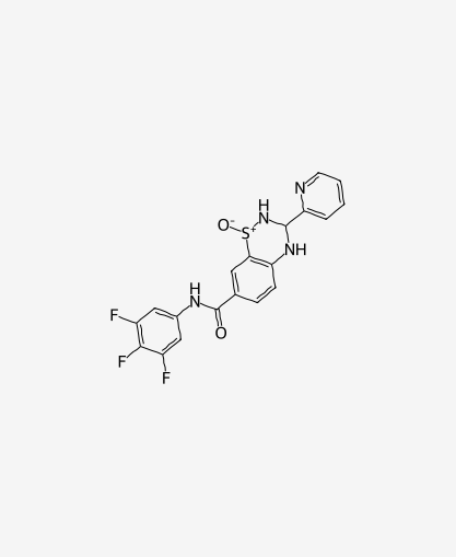 O=C(Nc1cc(F)c(F)c(F)c1)c1ccc2c(c1)[S+]([O-])NC(c1ccccn1)N2